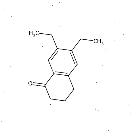 CCc1cc2c(cc1CC)C(=O)CCC2